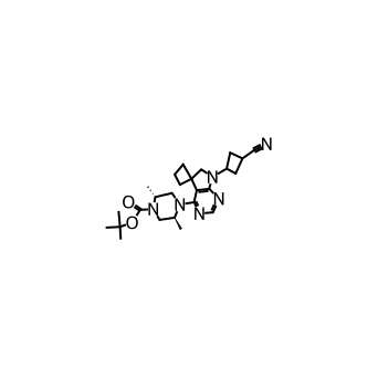 C[C@@H]1CN(c2ncnc3c2C2(CCC2)CN3C2CC(C#N)C2)[C@@H](C)CN1C(=O)OC(C)(C)C